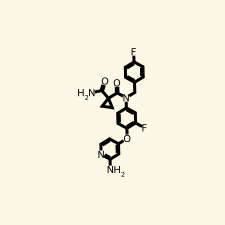 NC(=O)C1(C(=O)N(Cc2ccc(F)cc2)c2ccc(Oc3ccnc(N)c3)c(F)c2)CC1